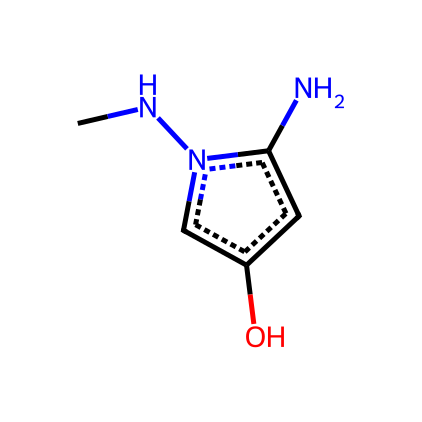 CNn1cc(O)cc1N